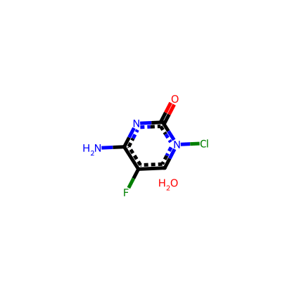 Nc1nc(=O)n(Cl)cc1F.O